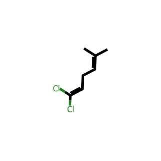 CC(C)=CCC=C(Cl)Cl